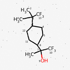 CC(C)(C1CCC(C(C)(O)C(F)(F)F)CC1)C(F)(F)F